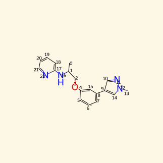 CC(COc1c[c]cc(-c2cnn(C)c2)c1)Nc1ccccn1